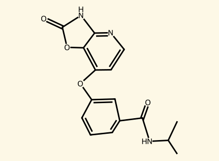 CC(C)NC(=O)c1cccc(Oc2ccnc3[nH]c(=O)oc23)c1